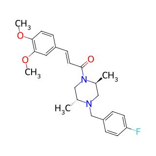 COc1ccc(C=CC(=O)N2C[C@@H](C)N(Cc3ccc(F)cc3)C[C@@H]2C)cc1OC